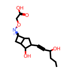 CCCC(O)C#CC1CC2/C(=N\OCC(=O)O)CC2C1O